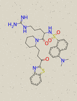 CN(C)c1cccc2c(S(=O)(=O)NC(CCCNC(=N)N)C(=O)N3CCCCC3CCC(=O)c3nc4ccccc4s3)cccc12